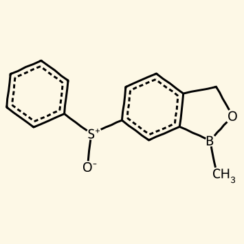 CB1OCc2ccc([S+]([O-])c3ccccc3)cc21